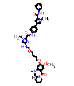 COc1cc2c(cc1OCCCCOCNc1cn(C)c(C(=O)Nc3ccc(-c4cc(C(=O)Nc5ccccc5)n(C)c4)cc3)n1)NC[C@@H]1CCCCN1C2=O